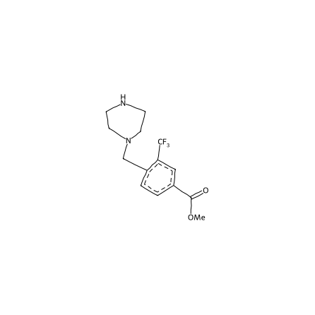 COC(=O)c1ccc(CN2CCNCC2)c(C(F)(F)F)c1